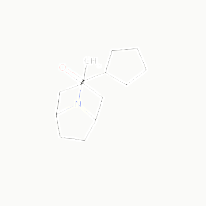 CC1CC2CCC(C1)N2C(=O)C1CCCC1